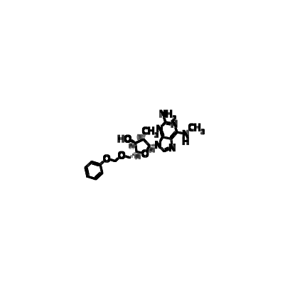 CNc1nc(N)nc2c1ncn2[C@@H]1O[C@H](COCOc2ccccc2)[C@@H](O)[C@@H]1C